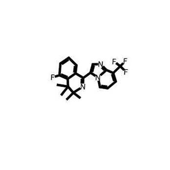 CC1(C)N=C(c2cnc3c(C(F)(F)F)cccn23)c2cccc(F)c2C1(C)C